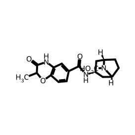 CC1Oc2ccc(C(=O)N[C@@H]3C[C@H]4CC[C@@H](C3)N4C(=O)O)cc2NC1=O